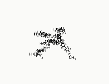 CCCCc1ccc(-c2ccc(C(=O)N[C@@H](CNC(=O)OC(C)(C)C)C(=O)N[C@@H](CCCCNC(=O)OC(C)(C)C)C(=O)N[C@@H](N)C(=O)N[C@@H](CCCCNC(=O)OC(C)(C)C)C(=O)O)cc2)cc1